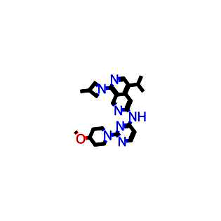 COC1CCN(c2nccc(Nc3cc4c(C(C)C)cnc(N5CC(C)C5)c4cn3)n2)CC1